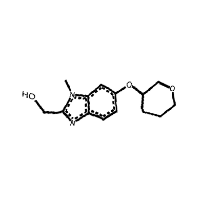 Cn1c(CO)nc2ccc(OC3CCCOC3)cc21